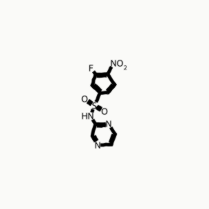 O=[N+]([O-])c1ccc(S(=O)(=O)Nc2cnccn2)cc1F